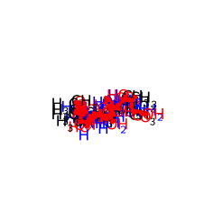 CC[C@H](C)[C@H](NC(=O)CNC(=O)[C@H](C)NC(=O)[C@@H](N)CCC(=O)O)C(=O)N[C@H](C(=O)NCC(=O)N[C@H](C(=O)N[C@@H](Cc1c[nH]c2ccccc12)C(=O)N[C@@H](Cc1ccc(O)cc1)C(=O)N[C@@H](CC(N)=O)C(=O)N[C@@H](CCC(N)=O)C(=O)N[C@@H](CC(C)C)C(=O)NCC(=O)N[C@@H](CO)C(=O)N[C@H](C(=O)N[C@@H](Cc1ccccc1)C(=O)N[C@H](C(=O)N[C@H](C(=O)O)C(C)C)[C@@H](C)CC)[C@@H](C)O)[C@@H](C)O)[C@@H](C)O